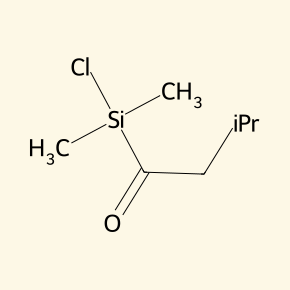 CC(C)CC(=O)[Si](C)(C)Cl